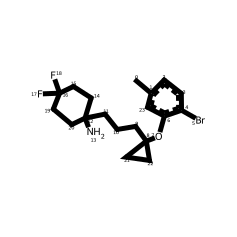 Cc1ccc(Br)c(OC2(CCCC3(N)CCC(F)(F)CC3)CC2)c1